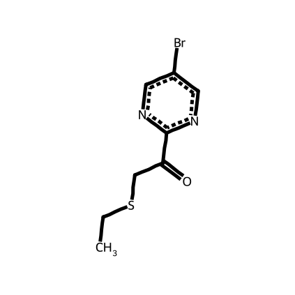 CCSCC(=O)c1ncc(Br)cn1